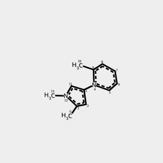 Cc1cc(-[n+]2ccccc2C)cn1C